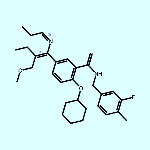 C=C(NCc1ccc(C)c(F)c1)c1cc(C(/N=C\CC)=C(/CC)COC)ccc1OC1CCCCC1